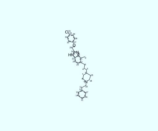 Cc1c(CCCC2CCN(CCc3ccccc3)CC2)ccc2[nH]c(COc3ccc(Cl)cc3)nc12